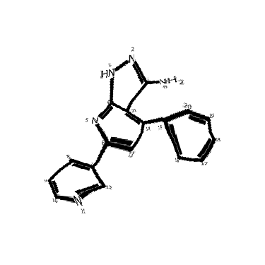 Nc1n[nH]c2nc(-c3cccnc3)cc(-c3ccccc3)c12